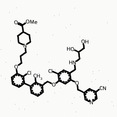 COC(=O)C1CCN(CCCOc2cccc(-c3cccc(COc4cc(OCc5cncc(C#N)c5)c(CNCC(O)CO)cc4Cl)c3C)c2Cl)CC1